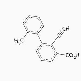 C#Cc1c(C(=O)O)cccc1-c1ccccc1C